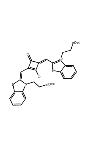 CCCCCCCCCCCCN1C(=CC2=C([O-])C(=Cc3sc4ccccc4[n+]3CCCCCCCCCCCC)C2=O)Sc2ccccc21